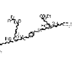 CCOC(=O)CCCCC(O)CN(CCCCSSCCN1CCN(CCOC(=O)CCCN(CC(O)CCCCCCC(=O)OCC(CC)CC)CC(O)CCCCCCC(=O)OCC(CC)CC)CC1)CC(O)CCCCC(=O)OCC